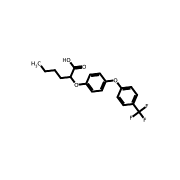 CCCCC(Oc1ccc(Oc2ccc(C(F)(F)F)cc2)cc1)C(=O)O